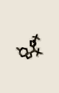 CC1CCC2=C(CC1)C(P(c1ccn(C(C)(C)C)c1)C(C)(C)C)CC2